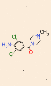 CN1CCN(C(=O)c2cc(Cl)c(N)c(Cl)c2)CC1